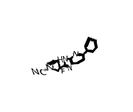 N#CN1CCC[C@](F)(c2nc3ccc(-c4ccccc4)nc3[nH]2)C1